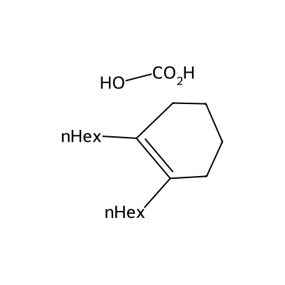 CCCCCCC1=C(CCCCCC)CCCC1.O=C(O)O